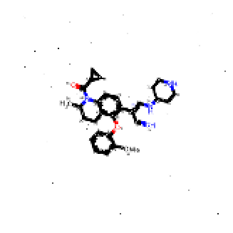 COc1ccccc1Oc1c(/C(C=N)=C/NC2CCNCC2)ccc2c1CCC(C)N2C(=O)C1CC1